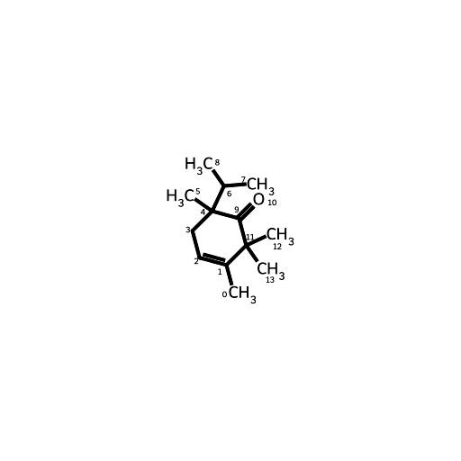 CC1=CCC(C)(C(C)C)C(=O)C1(C)C